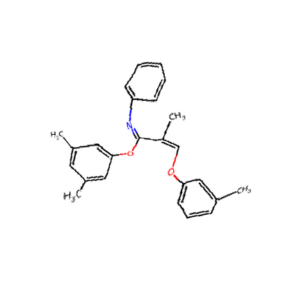 CC(=COc1cccc(C)c1)C(=Nc1ccccc1)Oc1cc(C)cc(C)c1